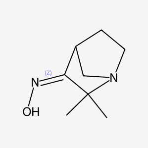 CC1(C)/C(=N\O)C2CCN1C2